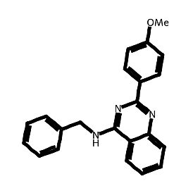 COc1ccc(-c2nc(NCc3ccccc3)c3ccccc3n2)cc1